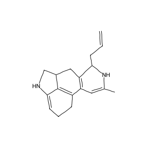 C=CCC1NC(C)=CC2=C1CC1CNC3=CCCC2=C31